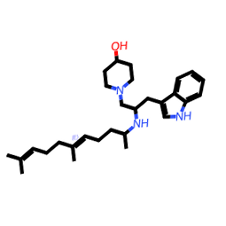 CC(C)=CCC/C(C)=C/CCC(C)NC(Cc1c[nH]c2ccccc12)CN1CCC(O)CC1